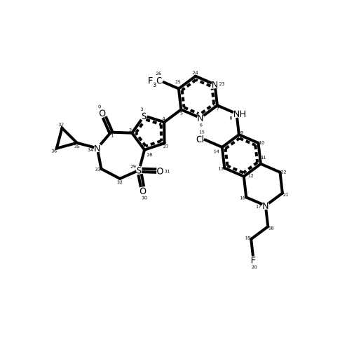 O=C1c2sc(-c3nc(Nc4cc5c(cc4Cl)CN(CCF)CC5)ncc3C(F)(F)F)cc2S(=O)(=O)CCN1C1CC1